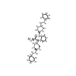 NC(=O)N(c1ccccc1CN1CCC(CCc2ccccc2)CC1)C1CCN(CCc2ccccc2)CC1